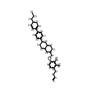 C=CCCc1ccc(OCC2CCC3CC(c4ccc(C5=CCC(CCC)C=C5)cc4)CCC3C2)c(F)c1F